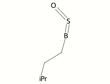 CC(C)CCB=S=O